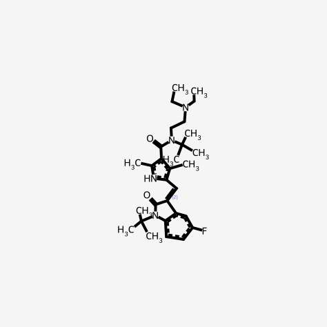 CCN(CC)CCN(C(=O)c1c(C)[nH]c(/C=C2\C(=O)N(C(C)(C)C)c3ccc(F)cc32)c1C)C(C)(C)C